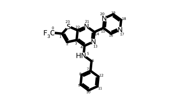 FC(F)(F)c1cc2c(NCc3ccccc3)nc(-c3cnccn3)nc2s1